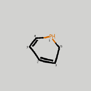 [CH]1C=CC=CP1